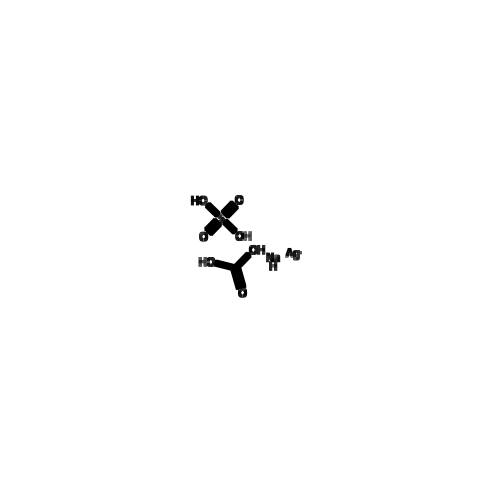 O=C(O)O.O=S(=O)(O)O.[Ag].[NaH]